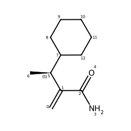 C=C(C(N)=O)[C@@H](C)C1CCCCC1